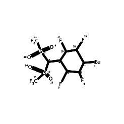 CCC(C)C1C(F)C(F)C(C(S(=O)(=O)C(F)(F)F)S(=O)(=O)C(F)(F)F)C(F)C1F